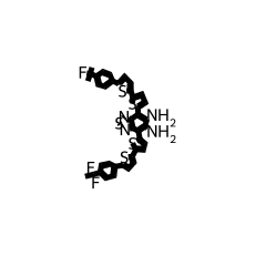 CC(C)(F)c1ccc(-c2ccc(-c3ccc(-c4c(N)c(N)c(-c5ccc(-c6ccc(-c7ccc(C(C)(F)F)cc7)s6)s5)c5nsnc45)s3)s2)cc1